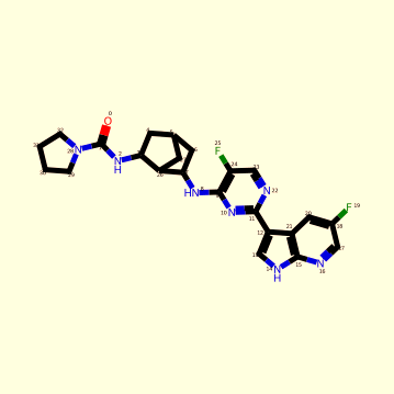 O=C(NC1CC2CC(Nc3nc(-c4c[nH]c5ncc(F)cc45)ncc3F)C1C2)N1CCCC1